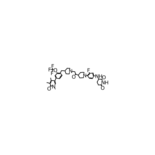 Cc1c(-c2ccc(CC3CCN(CC(=O)C4CCN(c5ccc(NC6CCC(=O)NC6=O)cc5F)CC4)CC3)c(OC(F)(F)F)c2)cn(C)c(=O)c1C